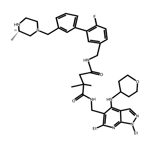 CCc1nc2c(cnn2CC)c(NC2CCOCC2)c1CNC(=O)C(C)(C)CC(=O)NCc1ccc(F)c(-c2cccc(CN3CCN[C@@H](C)C3)c2)c1